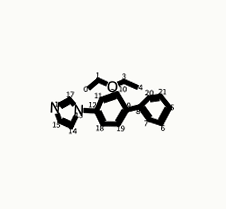 CCOCC.c1ccc(-c2ccc(-n3ccnc3)cc2)cc1